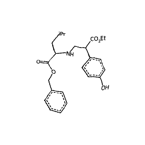 CCOC(=O)C(CNC(CC(C)C)C(=O)OCc1ccccc1)c1ccc(O)cc1